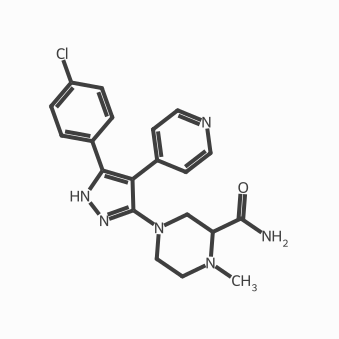 CN1CCN(c2n[nH]c(-c3ccc(Cl)cc3)c2-c2ccncc2)CC1C(N)=O